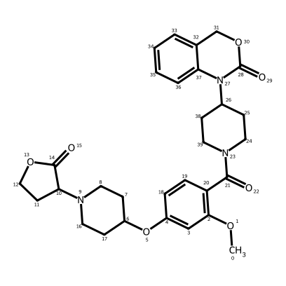 COc1cc(OC2CCN(C3CCOC3=O)CC2)ccc1C(=O)N1CCC(N2C(=O)OCc3ccccc32)CC1